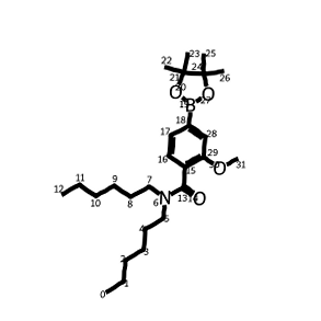 CCCCCCN(CCCCCC)C(=O)c1ccc(B2OC(C)(C)C(C)(C)O2)cc1OC